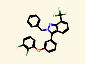 Fc1cccc(Oc2cccc(-c3c4cccc(C(F)(F)F)c4nn3Cc3ccccc3)c2)c1F